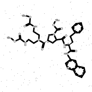 CC(C)(C)OC(=O)NCCN(CCNC(=O)OC(C)(C)C)C(=O)[C@H]1CC(C(=O)N[C@@H](CCc2ccccc2)C(=O)Nc2cnc3ccccc3c2)N(C(=O)OC(C)(C)C)C1